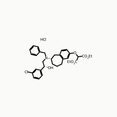 CCOC(=O)C(Oc1ccc2c(c1)CCC[C@H](N(Cc1ccccc1)C[C@H](O)c1cccc(Cl)c1)C2)C(=O)OCC.Cl